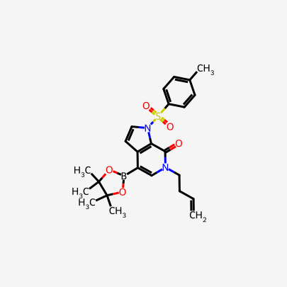 C=CCCn1cc(B2OC(C)(C)C(C)(C)O2)c2ccn(S(=O)(=O)c3ccc(C)cc3)c2c1=O